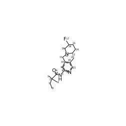 CCC(C)(C)C(=O)Nc1cc(CN2CCCC(F)C2)c(C)cn1